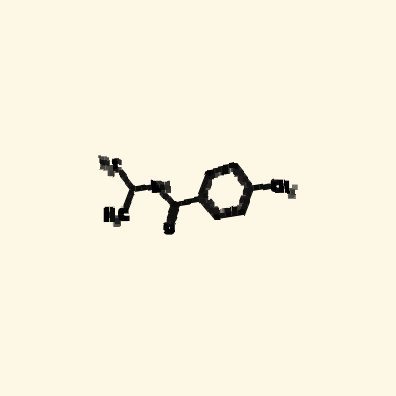 [CH2]c1ccc(C(=O)NC(C)C)cc1